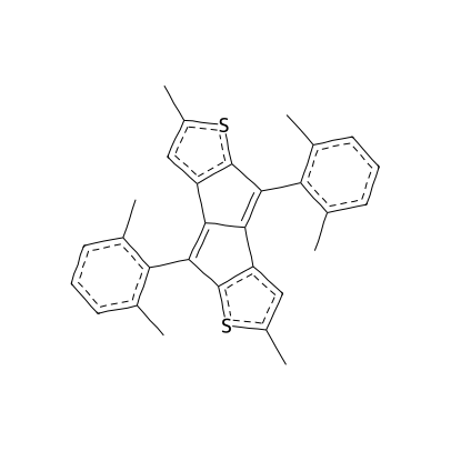 Cc1cc2c(s1)C(c1c(C)cccc1C)=C1C2=C(c2c(C)cccc2C)c2sc(C)cc21